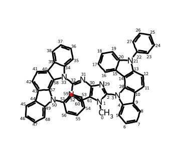 Cn1c(-n2c3ccccc3c3ccc4c(c5ccccc5n4-c4ccccc4)c32)nc2nc(-n3c4ccccc4c4ccc5c6ccccc6n(-c6ccccc6)c5c43)ncc21